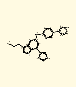 OCCn1cnc2c(-c3cscn3)cc(Nc3ncc(-c4nnn[nH]4)cn3)cc21